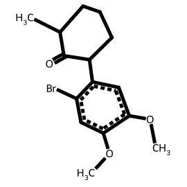 COc1cc(Br)c(C2CCCC(C)C2=O)cc1OC